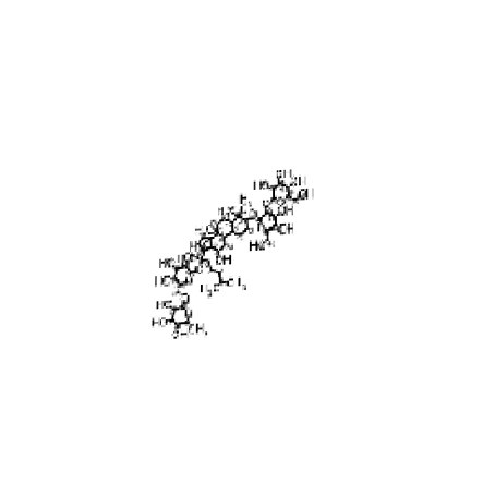 CC(C)=CCC[C@](C)(O[C@@H]1O[C@H](CO[C@@H]2O[C@@H](C)[C@@H](O)[C@@H](O)[C@H]2O)[C@@H](O)[C@H](O)[C@H]1O)C1CCC2(C)C1C(O)CC1C3CCC(O[C@@H]4O[C@H](CO)[C@@H](O)[C@H](O)[C@H]4O[C@@H]4O[C@H](CO)[C@@H](O)[C@H](O)[C@H]4O)C(C)(C)C3CCC12C